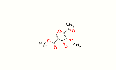 COC(=O)c1coc(C(C)=O)c(OC)c1=O